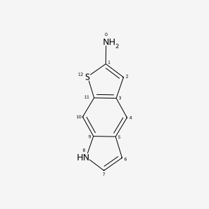 Nc1cc2cc3cc[nH]c3cc2s1